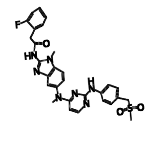 CN(c1ccc2c(c1)nc(NC(=O)Cc1ccccc1F)n2C)c1ccnc(Nc2ccc(CS(C)(=O)=O)cc2)n1